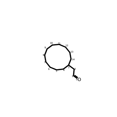 O=CCC1CCCCCCCCCCC1